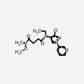 CCN(C(=O)CCC(=O)N(C)OC)c1cn(-c2cccnc2)nc1Cl